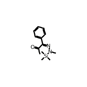 CC(=O)C(=NN(C)[Si](C)(C)C)c1ccccc1